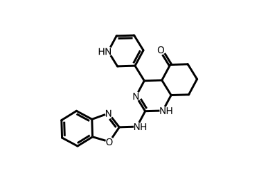 O=C1CCCC2NC(Nc3nc4ccccc4o3)=NC(C3=CC=CNC3)C12